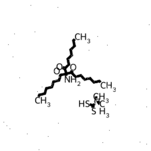 CCCCCCCC(=O)C(N)(C(=O)CCCCCCC)C(=O)CCCCCCC.CN(C)C(=S)S